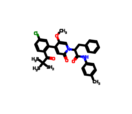 BC(B)(B)C(=O)c1ccc(Cl)cc1-c1cc(=O)n(C(Cc2ccccc2)C(=O)Nc2ccc(C)cc2)cc1OC